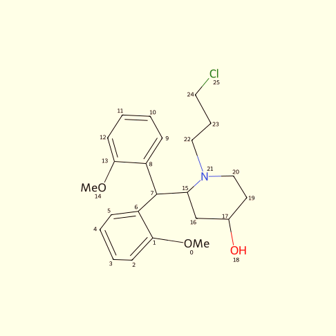 COc1ccccc1C(c1ccccc1OC)C1CC(O)CCN1CCCCl